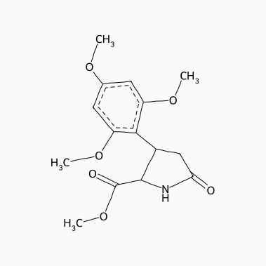 COC(=O)C1NC(=O)CC1c1c(OC)cc(OC)cc1OC